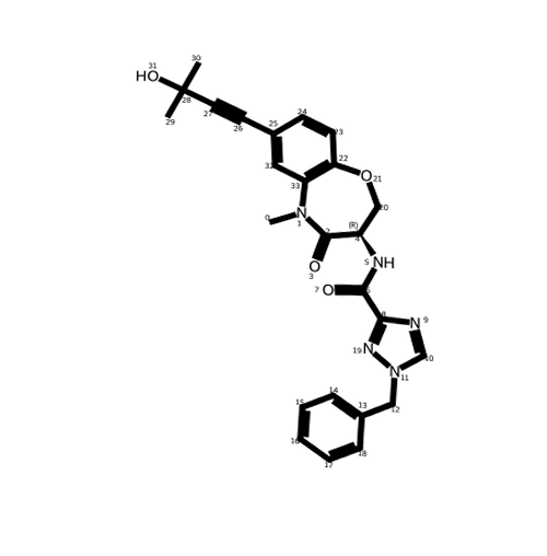 CN1C(=O)[C@H](NC(=O)c2ncn(Cc3ccccc3)n2)COc2ccc(C#CC(C)(C)O)cc21